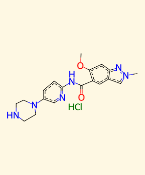 COc1cc2nn(C)cc2cc1C(=O)Nc1ccc(N2CCNCC2)cn1.Cl